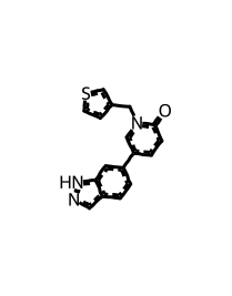 O=c1ccc(-c2ccc3cn[nH]c3c2)cn1Cc1ccsc1